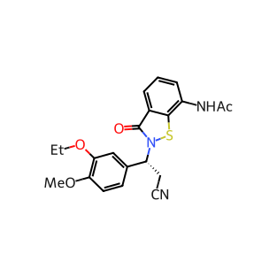 CCOc1cc([C@@H](CC#N)n2sc3c(NC(C)=O)cccc3c2=O)ccc1OC